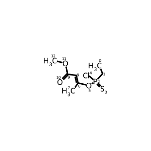 CCP(=S)(Cl)OC(C)=CC(=O)OC